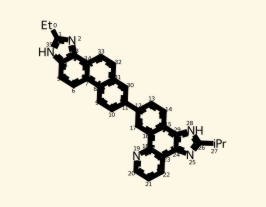 CCc1nc2c(ccc3c4ccc(-c5ccc6c(c5)c5ncccc5c5nc(C(C)C)[nH]c65)cc4ccc32)[nH]1